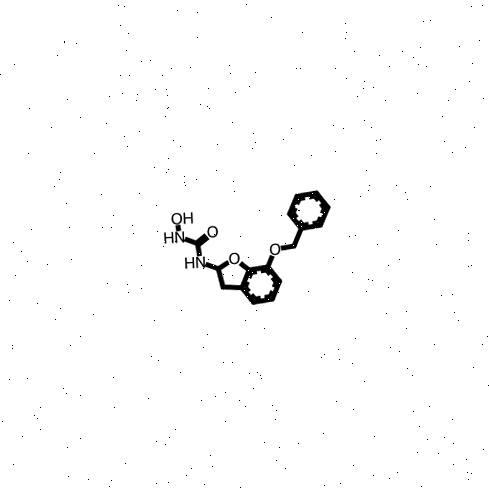 O=C(NO)NC1Cc2cccc(OCc3ccccc3)c2O1